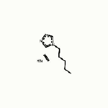 Br.C=C.CCCCCn1ccnc1